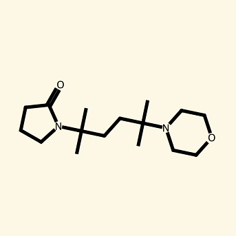 CC(C)(CCC(C)(C)N1CCCC1=O)N1CCOCC1